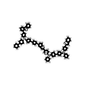 c1ccc(-c2ccc(N(c3ccc(-c4ccc(-c5ccc6sc(-c7ccc(N(c8ccccc8)c8ccc(-c9ccc(N(c%10ccccc%10)c%10ccc(-c%11cc%12ccccc%12s%11)cc%10)cc9)cc8)cc7)cc6c5)cc4)cc3)c3ccc(-c4cccc5c4oc4ccccc45)cc3)cc2)cc1